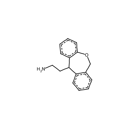 NCCC1c2ccccc2COc2ccccc21